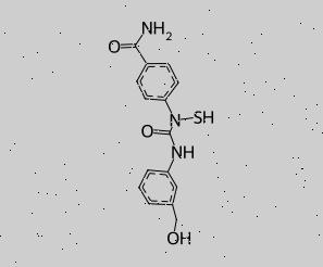 NC(=O)c1ccc(N(S)C(=O)Nc2cccc(CO)c2)cc1